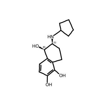 Oc1ccc2c(c1O)CC[C@H](NC1CCCC1)[C@@H]2O